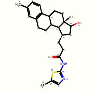 Cc1ccc2c(c1)CCC1C2CC[C@@H]2C(O)C[C@@H](CCC(=O)Nc3ncc(C)s3)C12